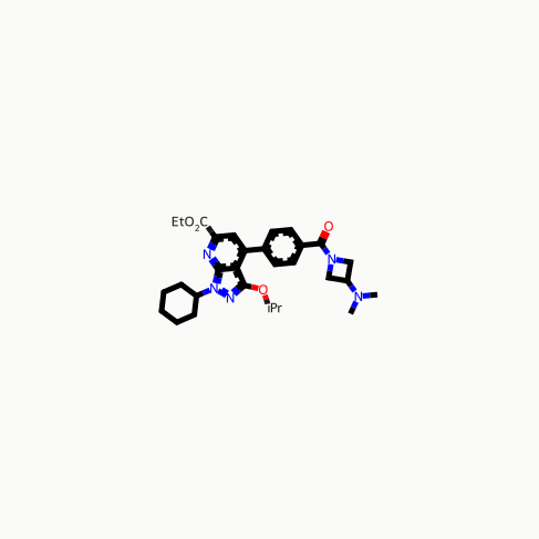 CCOC(=O)c1cc(-c2ccc(C(=O)N3CC(N(C)C)C3)cc2)c2c(OC(C)C)nn(C3CCCCC3)c2n1